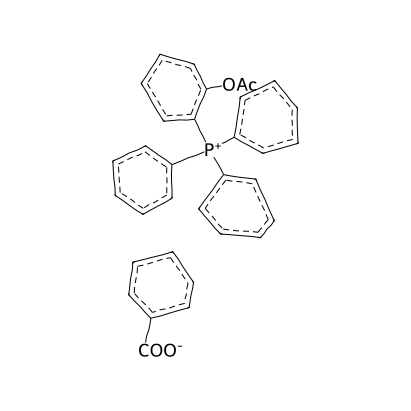 CC(=O)Oc1ccccc1[P+](c1ccccc1)(c1ccccc1)c1ccccc1.O=C([O-])c1ccccc1